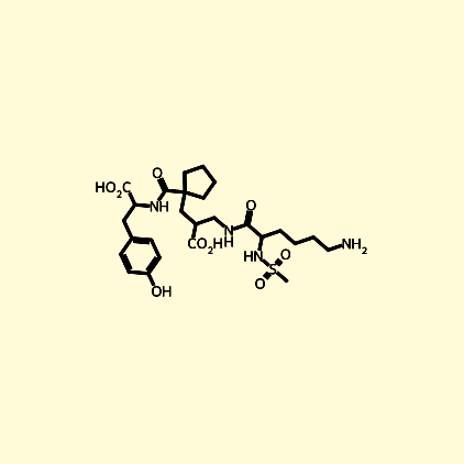 CS(=O)(=O)NC(CCCCN)C(=O)NCC(CC1(C(=O)NC(Cc2ccc(O)cc2)C(=O)O)CCCC1)C(=O)O